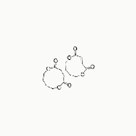 O=C1/C=C/C(=O)OCCCCO1.O=C1CCC(=O)OCCCCO1